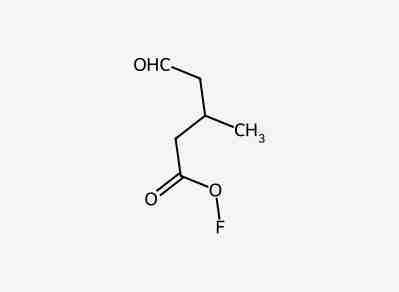 CC(CC=O)CC(=O)OF